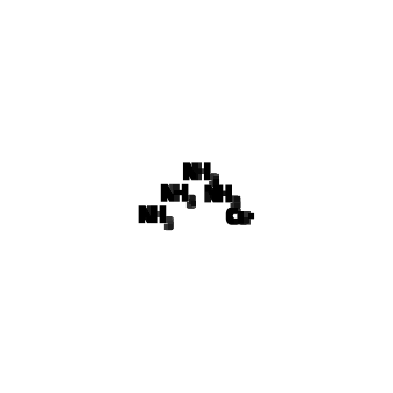 N.N.N.N.[Cu]